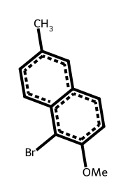 COc1ccc2cc(C)ccc2c1Br